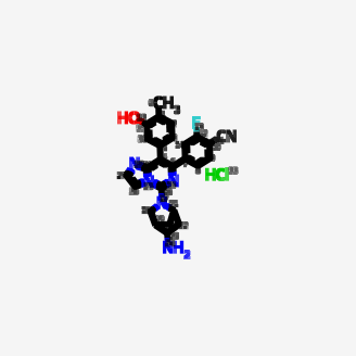 Cc1ccc(-c2c(-c3ccc(C#N)c(F)c3)nc(N3CC4CC3CC4N)n3ccnc23)cc1O.Cl